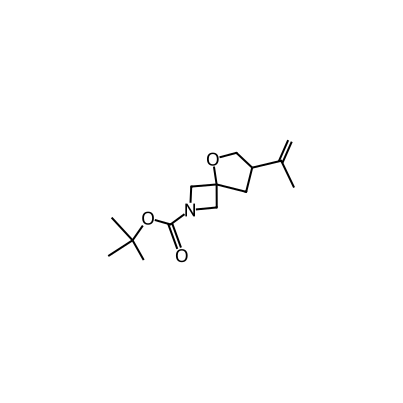 C=C(C)C1COC2(C1)CN(C(=O)OC(C)(C)C)C2